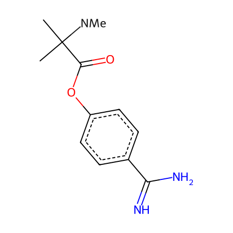 CNC(C)(C)C(=O)Oc1ccc(C(=N)N)cc1